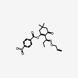 C=CCON=C(CC)C1=C(OC(=O)c2ccc([N+](=O)[O-])cc2)CC(C)(C)CC1=O